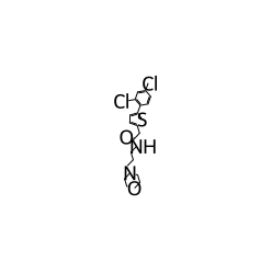 O=C(Cc1ccc(-c2ccc(Cl)cc2Cl)s1)NCCCN1CCOCC1